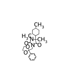 CC1CCC(C2(C)C(=O)N(CC3(c4ccccc4)OCCO3)C(=O)N2C)CC1